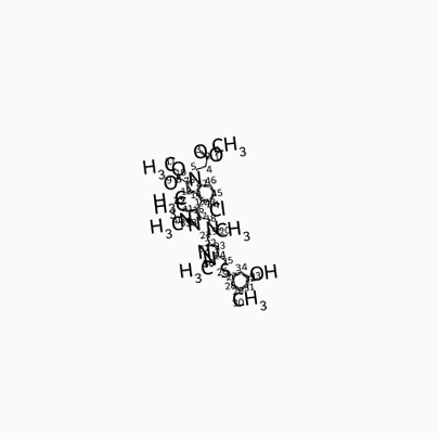 COC(=O)CCn1c(C(=O)OC)c(C)c2c(-c3c(CN(C)Cc4cc(CSc5cc(C)cc(O)c5)n(C)n4)nn(C)c3C)c(Cl)ccc21